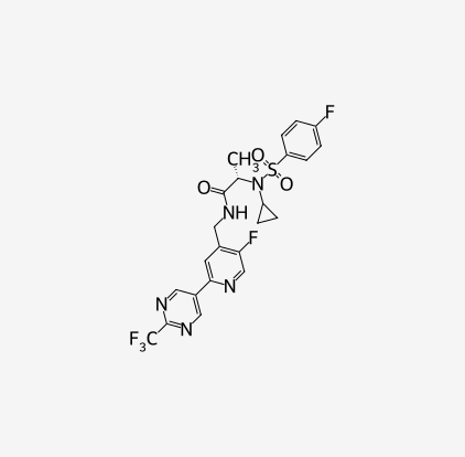 C[C@@H](C(=O)NCc1cc(-c2cnc(C(F)(F)F)nc2)ncc1F)N(C1CC1)S(=O)(=O)c1ccc(F)cc1